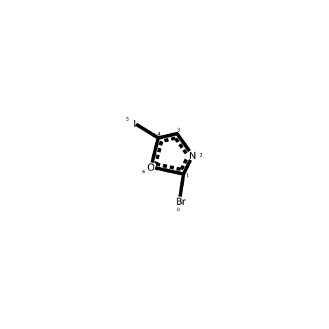 Brc1ncc(I)o1